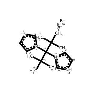 CC(C)(C)C([n+]1cc[nH]c1)([n+]1cc[nH]c1)C(C)(C)C.[Br-].[Br-]